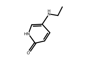 CCNc1ccc(=O)[nH]c1